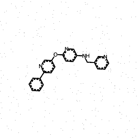 c1ccc(-c2ccc(Oc3ccc(NCc4cccnc4)cn3)cn2)cc1